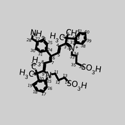 CC1(C)C(/C=C/C(=C/C=C2\N(CCCS(=O)(=O)O)c3ccccc3C2(C)C)c2ccc(CN)cc2)=[N+](CCCS(=O)(=O)O)c2ccccc21